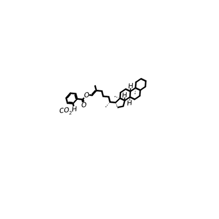 CC(=COC(=O)c1ccccc1C(=O)O)CCC[C@@H](C)[C@H]1CC[C@H]2[C@@H]3CCC4CCCC[C@]4(C)[C@H]3CC[C@]12C